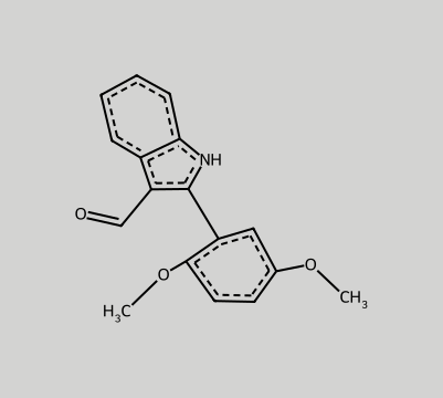 COc1ccc(OC)c(-c2[nH]c3ccccc3c2C=O)c1